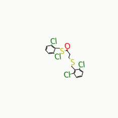 O=C(CCSCc1c(Cl)cccc1Cl)SCc1c(Cl)cccc1Cl